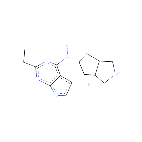 CCc1nc(N(C)[C@@H]2C[C@H]3CNC[C@H]3C2)c2cc[nH]c2n1